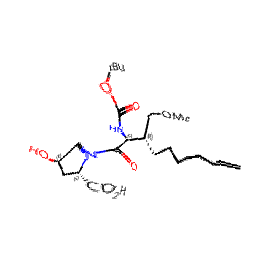 C=CCCCC[C@@H](COC)[C@H](NC(=O)OC(C)(C)C)C(=O)N1C[C@H](O)C[C@H]1C(=O)O